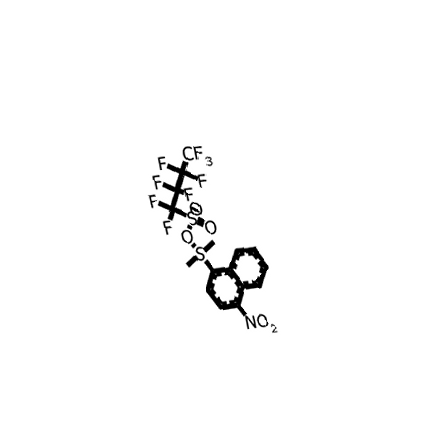 CS(C)(OS(=O)(=O)C(F)(F)C(F)(F)C(F)(F)C(F)(F)F)c1ccc([N+](=O)[O-])c2ccccc12